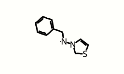 C1=CN([N]Cc2ccccc2)CS1